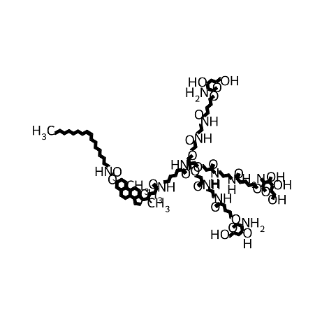 CCCCCCCC/C=C\CCCCCCCCNC(=O)O[C@@H]1CC[C@@]2(C)C(CCC3C2CC[C@@]2(C)C3CC[C@@H]2[C@H](C)CCC(=O)NCCCCCC(=O)NC(COCCC(=O)NCCCNC(=O)CCCCOC2OC(CO)CC(O)C2N)(COCCC(=O)NCCCNC(=O)CCCCOC2OC(CO)CC(O)C2N)COCCC(=O)NCCCNC(=O)CCCCOC2OC(CO)C(O)C(O)C2N)C1